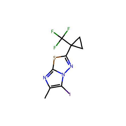 Cc1nc2sc(C3(C(F)(F)F)CC3)nn2c1I